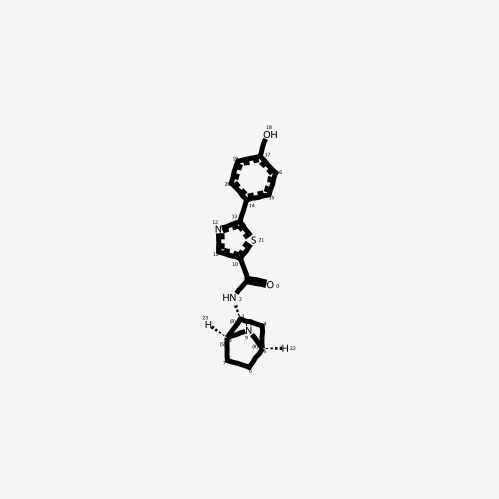 O=C(N[C@@H]1C[C@H]2CC[C@@H]1N2)c1cnc(-c2ccc(O)cc2)s1